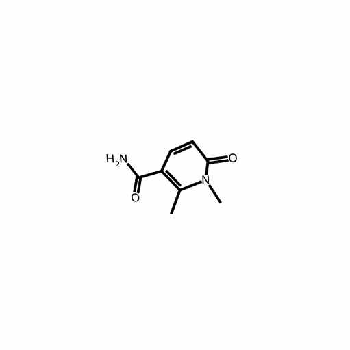 Cc1c(C(N)=O)ccc(=O)n1C